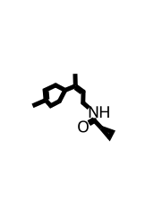 CC1=CCC(/C(C)=C\CNC(=O)C2CC2)CC1